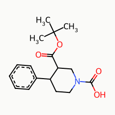 CC(C)(C)OC(=O)C1CN(C(=O)O)CCC1c1ccccc1